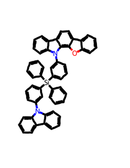 c1ccc([Si](c2ccccc2)(c2cccc(-n3c4ccccc4c4ccccc43)c2)c2cccc(-n3c4ccccc4c4ccc5c6ccccc6oc5c43)c2)cc1